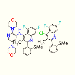 CSc1ccccc1-c1nc2cc(F)cc(F)c2c(Cl)c1C.CSc1ccccc1-c1nc2cc(F)cc(F)c2c(Nc2cc(N3CCOCC3)cnc2N2CCOCC2)c1C